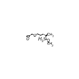 C=C(CCCOCC1CO1)[SiH2]OC